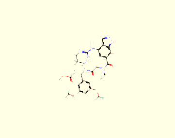 CCN(CC(=O)N[C@@H](CC(=O)OC)c1cc(OC(F)F)cc(OC(F)F)c1)C(=O)c1cc(NC2=NCC(F)CN2)c2cn[nH]c2c1